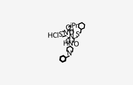 CC(C)OC(=O)N1CSC[C@H]1C(=O)N[C@@H](CSCC1CCCCC1)C(=O)NC1CCN(Cc2ccccc2)CC1.Cl